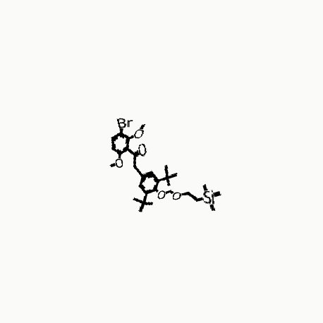 COc1ccc(Br)c(OC)c1C(=O)Cc1cc(C(C)(C)C)c(OCOCC[Si](C)(C)C)c(C(C)(C)C)c1